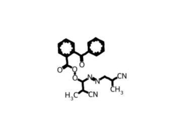 CC(C#N)CN=NC(OOC(=O)c1ccccc1C(=O)c1ccccc1)C(C)C#N